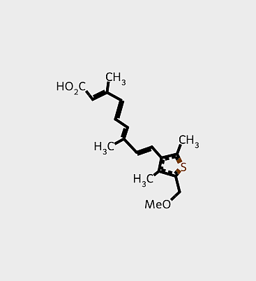 COCc1sc(C)c(C=CC(C)=CC=CC(C)=CC(=O)O)c1C